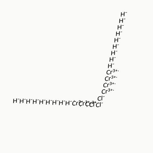 [Cl-].[Cl-].[Cl-].[Cr+3].[Cr+3].[Cr+3].[Cr+3].[Cr+3].[Cr+3].[Cr+3].[H-].[H-].[H-].[H-].[H-].[H-].[H-].[H-].[H-].[H-].[H-].[H-].[H-].[H-].[H-].[H-].[H-].[H-]